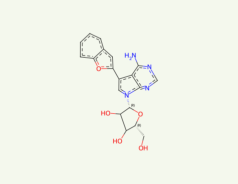 Nc1ncnc2c1c(-c1cc3ccccc3o1)cn2[C@@H]1O[C@H](CO)C(O)C1O